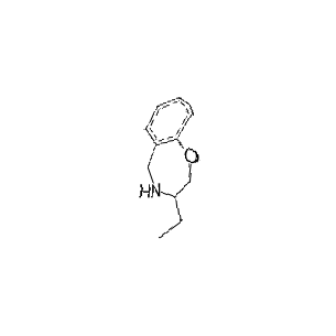 CCC1COc2ccccc2CN1